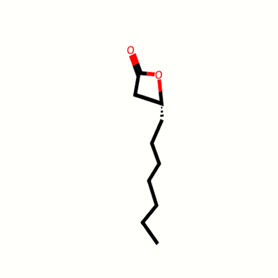 CCCCCCC[C@@H]1CC(=O)O1